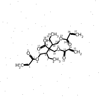 C=CC(=O)OCC(CC)C(COC(=O)C=C)(C(=O)O)C(CC)COC(=O)C=C